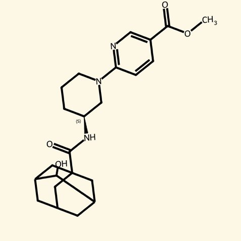 COC(=O)c1ccc(N2CCC[C@H](NC(=O)C34CC5CC(C3)C(O)C(C5)C4)C2)nc1